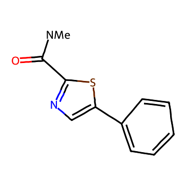 CNC(=O)c1ncc(-c2ccccc2)s1